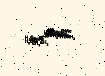 C=C1C[C@H](CC[C@@]23C[C@@H]4CO[C@@H]5C(O[C@H]6CC[C@H](CC(=O)C[C@@H]7[C@@H](OC)[C@@H](C[C@H](O)CN)O[C@H]7C)O[C@@H]6[C@@H]5C2)[C@H]4O3)O[C@H]1CC[C@H]1C[C@@H](C)C(=C)[C@@H](C)O1